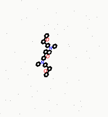 c1ccc(N(C2=c3cccc4c3=C(CC2)Oc2cc(N(c3ccccc3)c3ccc(-c5cccc6c5oc5ccccc56)cc3)ccc2-4)c2ccc(-c3cccc4c3oc3ccccc34)cc2)cc1